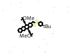 COC(C)(C)C#Cc1c2cc3ccccc3cc2c(C#CC(C)(C)OC)c2cc3sc(Sc4ccc(C(C)(C)C)cc4)cc3cc12